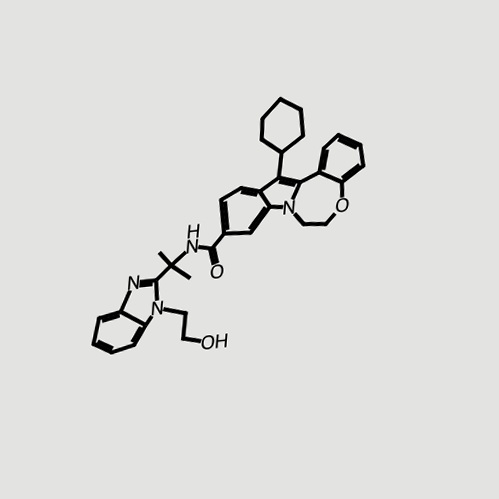 CC(C)(NC(=O)c1ccc2c(C3CCCCC3)c3n(c2c1)CCOc1ccccc1-3)c1nc2ccccc2n1CCO